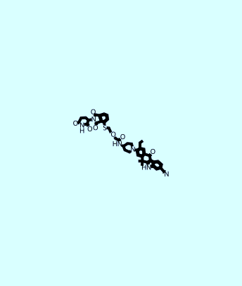 CCc1cc2c(cc1N1CCC(NC(=O)COCCSc3cccc4c3C(=O)N(C3CCC(=O)NC3=O)C4=O)CC1)C(C)(C)c1[nH]c3cc(C#N)ccc3c1C2=O